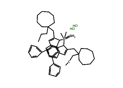 CCCC1(CC2=Cc3c(-c4ccccc4)cccc3[CH]2[Zr]([CH3])([CH3])(=[SiH2])[CH]2C(CC3(CCC)CCCCCCC3)=Cc3c(-c4ccccc4)cccc32)CCCCCCC1.Cl.Cl